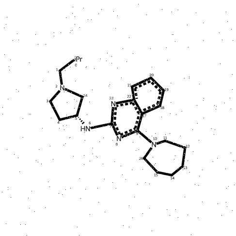 CC(C)CN1CC[C@@H](Nc2nc(N3CCCCCC3)c3ccccc3n2)C1